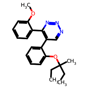 CCC(C)(CC)Oc1ccccc1-c1cnnnc1-c1ccccc1OC